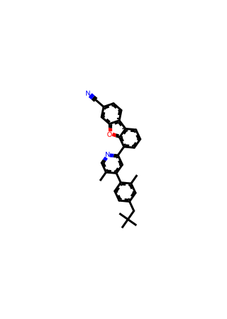 Cc1cc(CC(C)(C)C)ccc1-c1cc(-c2cccc3c2oc2cc(C#N)ccc23)ncc1C